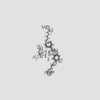 C[N+](C)(C)CC(=O)[O-].O=C(O)CCCCC[n+]1ccc(-c2nc3cc(Cl)c(OCCCS(=O)(=O)[O-])cc3o2)cc1